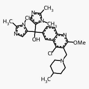 COc1nc2ccc(C(O)(c3cnc(C)n3C)c3cnc(C)n3C)cc2c(Cl)c1CN1CCC(C)CC1